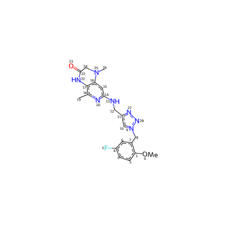 COc1ccc(F)cc1Cn1cc(CNc2cc3c(c(C)n2)NC(=O)CN3C)nn1